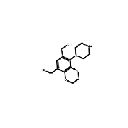 OCc1cc(CO)c(N2CCNCC2)c2c1OCCO2